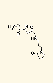 COC(=O)c1cc(CNCCCN2CCCC2=O)on1